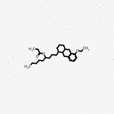 CCCCCC(CCCC1CCCC2Cc3c(cccc3OCC)CC12)OC(=O)CC